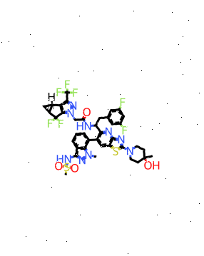 Cn1nc(NS(C)(=O)=O)c2cccc(-c3cc4sc(N5CCC(C)(O)CC5)nc4nc3C(Cc3cc(F)cc(F)c3)NC(=O)Cn3nc(C(F)(F)F)c4c3C(F)(F)C3C[C@H]43)c21